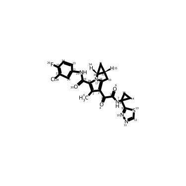 Cc1c(C(=O)C(=O)NC2(c3nncs3)CC2)c2n(c1C(=O)Nc1ccc(F)c(Cl)c1)[C@@H]1C[C@@H]1C2